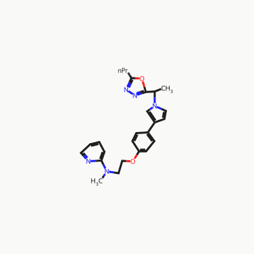 CCCc1nnc(C(C)n2ccc(-c3ccc(OCCN(C)c4ccccn4)cc3)c2)o1